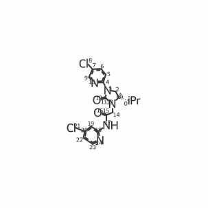 CC(C)[C@H]1CN(c2ccc(Cl)cn2)C(=O)N1CC(=O)Nc1cc(Cl)ccn1